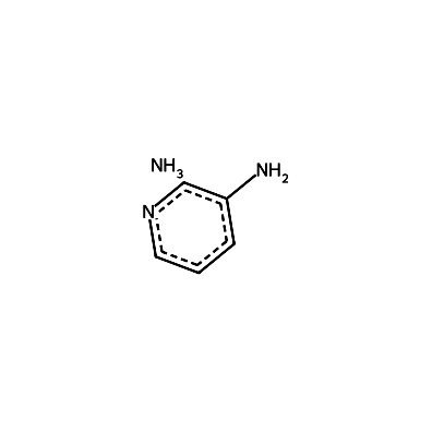 N.Nc1cccnc1